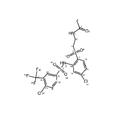 CC(=O)NCCS(=O)(=O)c1ccc(Cl)cc1NS(=O)(=O)c1ccc(Cl)c(C(F)(F)F)c1